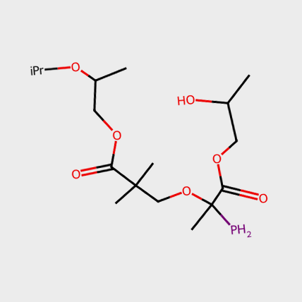 CC(O)COC(=O)C(C)(P)OCC(C)(C)C(=O)OCC(C)OC(C)C